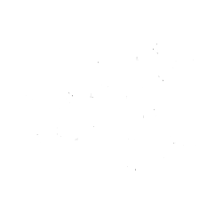 CCCCC(NC(=O)c1ccc2nc(C)n(Cc3ccc(Cl)cc3Cl)c2c1)[SH](=O)=O